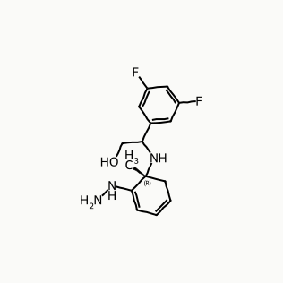 C[C@@]1(NC(CO)c2cc(F)cc(F)c2)CC=CC=C1NN